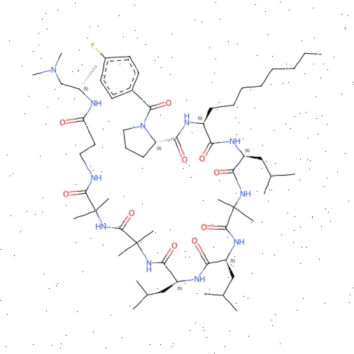 CCCCCCCC[C@H](NC(=O)[C@@H]1CCCN1C(=O)c1ccc(F)cc1)C(=O)N[C@@H](CC(C)C)C(=O)NC(C)(C)C(=O)N[C@@H](CC(C)C)C(=O)N[C@@H](CC(C)C)C(=O)NC(C)(C)C(=O)NC(C)(C)C(=O)NCCC(=O)N[C@@H](C)CN(C)C